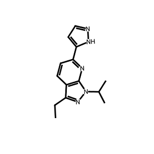 CCc1nn(C(C)C)c2nc(-c3ccn[nH]3)ccc12